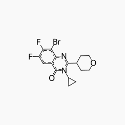 O=c1c2cc(F)c(F)c(Br)c2nc(C2CCOCC2)n1C1CC1